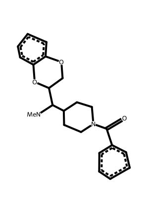 CNC(C1CCN(C(=O)c2ccccc2)CC1)C1COc2ccccc2O1